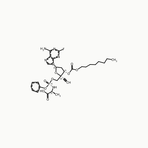 C#C[C@]1(CO[P@@](=O)(N[C@@H](C)C(=O)O)Oc2ccccc2)O[C@@H](n2cnc3c(N)nc(F)nc32)C[C@@H]1OC(=O)OCCCCCCCC